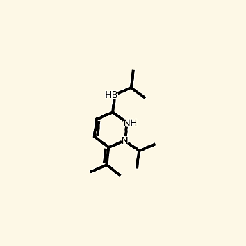 CC(C)=C1C=CC(BC(C)C)NN1C(C)C